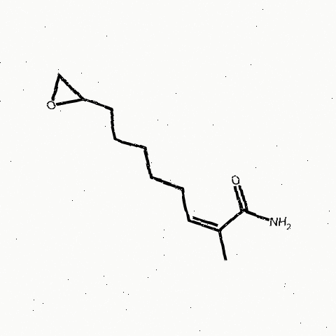 CC(=CCCCCCC1CO1)C(N)=O